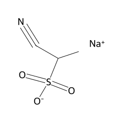 CC(C#N)S(=O)(=O)[O-].[Na+]